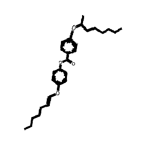 CCCCCC=COc1ccc(OC(=O)c2ccc(OC(C)CCCCCC)cc2)cc1